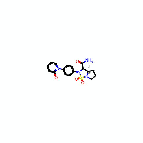 NC(=O)C1[C@H]2[CH]CCN2S(=O)(=O)N1c1ccc(-n2ccccc2=O)cc1